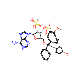 COc1ccc(C(OC[C@H]2O[C@@H](n3cnc4c(N)ncnc43)[C@H](OS(C)(=O)=O)[C@@H]2OS(C)(=O)=O)(c2ccccc2)c2ccc(OC)cc2)cc1